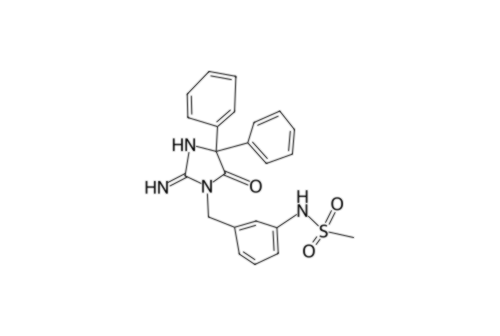 CS(=O)(=O)Nc1cccc(CN2C(=N)NC(c3ccccc3)(c3ccccc3)C2=O)c1